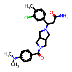 Cc1ccc(C(CC(N)=O)N2CC3CN(C(=O)c4ccc(N(C)C)cc4)CC3C2)cc1Cl